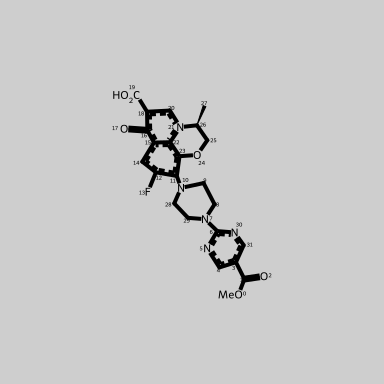 COC(=O)c1cnc(N2CCN(c3c(F)cc4c(=O)c(C(=O)O)cn5c4c3OC[C@@H]5C)CC2)nc1